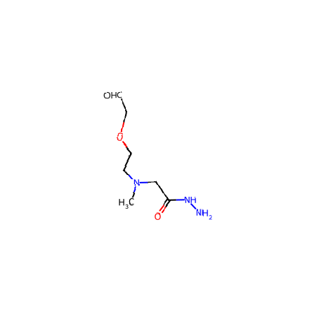 CN(CCOCC=O)CC(=O)NN